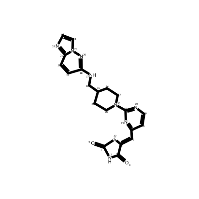 O=C1NC(=O)C(=Cc2ccnc(N3CCC(CNc4ccc5nccn5n4)CC3)n2)S1